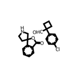 O=C1OC2(CCNC2)c2ccccc21.O=CC1(c2ccc(Cl)cc2)CCC1